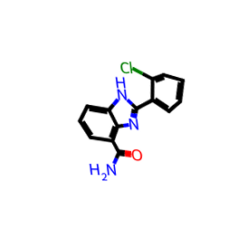 NC(=O)c1cccc2[nH]c(-c3ccccc3Cl)nc12